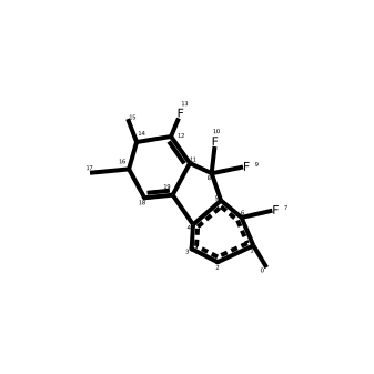 Cc1ccc2c(c1F)C(F)(F)C1=C(F)C(C)C(C)C=C12